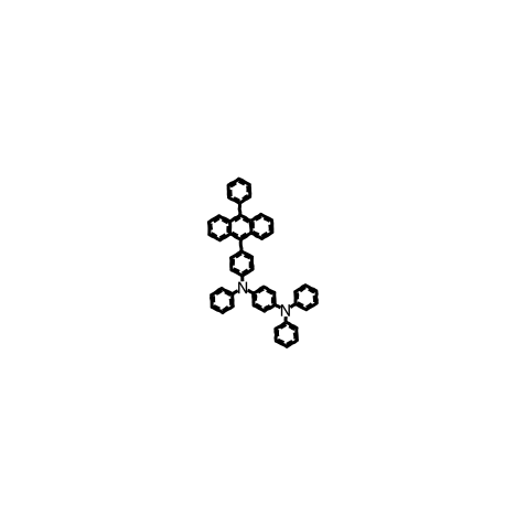 c1ccc(-c2c3ccccc3c(-c3ccc(N(c4ccccc4)c4ccc(N(c5ccccc5)c5ccccc5)cc4)cc3)c3ccccc23)cc1